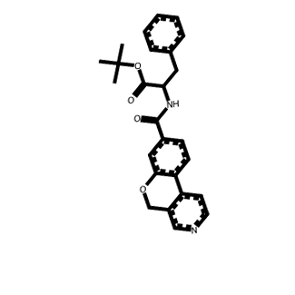 CC(C)(C)OC(=O)C(Cc1ccccc1)NC(=O)c1ccc2c(c1)OCc1cnccc1-2